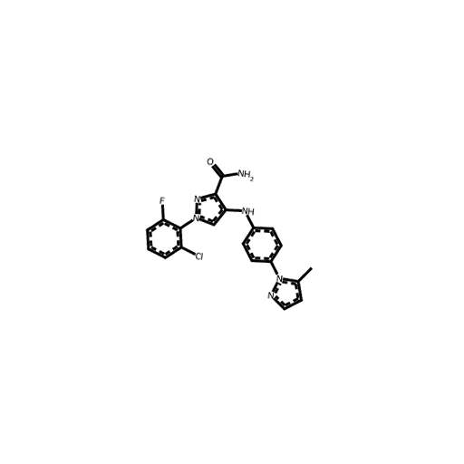 Cc1ccnn1-c1ccc(Nc2cn(-c3c(F)cccc3Cl)nc2C(N)=O)cc1